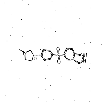 CN1CC[C@@H](c2ccc(S(=O)(=O)c3ccc4[nH]ncc4c3)cc2)C1